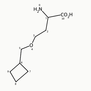 NC(CCOCC1CCC1)C(=O)O